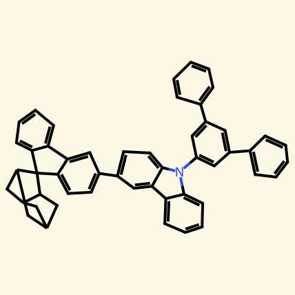 c1ccc(-c2cc(-c3ccccc3)cc(-n3c4ccccc4c4cc(-c5ccc6c(c5)-c5ccccc5C65C6CC7CC(C6)C5C7)ccc43)c2)cc1